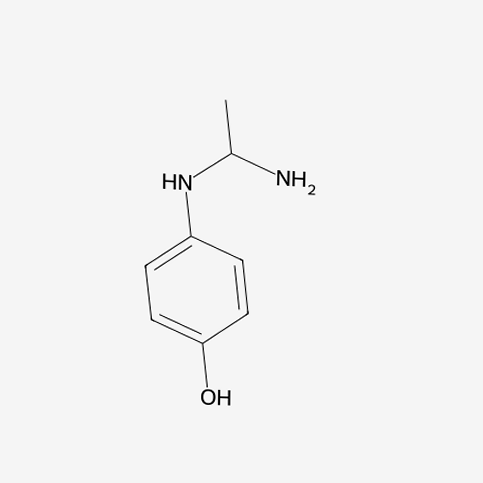 CC(N)Nc1ccc(O)cc1